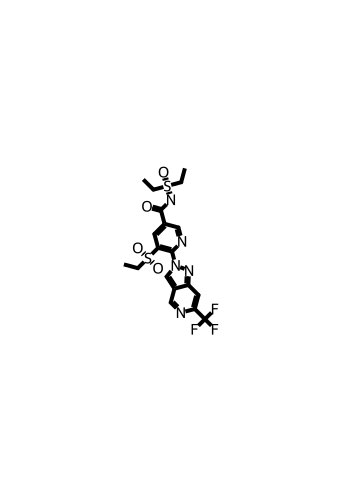 CCS(=O)(=O)c1cc(C(=O)N=S(=O)(CC)CC)cnc1-n1cc2cnc(C(F)(F)F)cc2n1